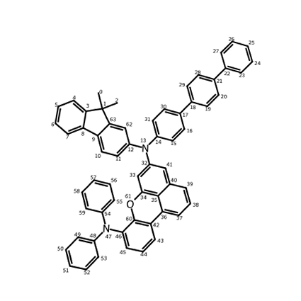 CC1(C)c2ccccc2-c2ccc(N(c3ccc(-c4ccc(-c5ccccc5)cc4)cc3)c3cc4c5c(cccc5c3)-c3cccc(N(c5ccccc5)c5ccccc5)c3O4)cc21